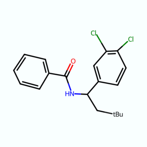 CC(C)(C)CC(NC(=O)c1ccccc1)c1ccc(Cl)c(Cl)c1